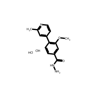 COc1cc(C(=O)NN)ccc1-c1ccnc(C)c1.Cl.Cl